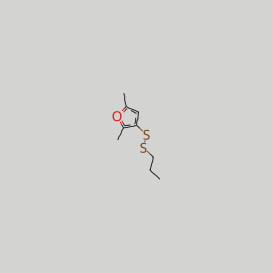 CCCSSc1cc(C)oc1C